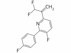 C=C(c1ccc(F)c(-c2ccc(F)cc2)n1)C(F)F